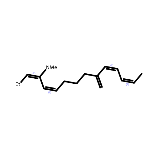 C=C(/C=C\C=C/C)CCC/C=C\C(=C/CC)NC